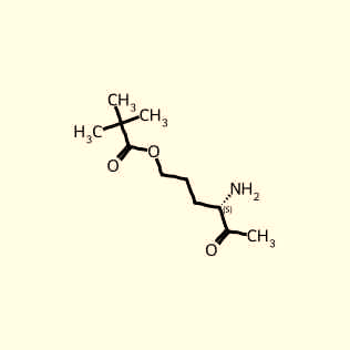 CC(=O)[C@@H](N)CCCOC(=O)C(C)(C)C